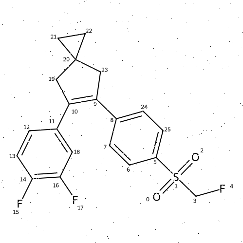 O=S(=O)(CF)c1ccc(C2=C(c3ccc(F)c(F)c3)CC3(CC3)C2)cc1